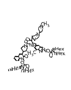 CCCCCCN(CCCCCC)C(=O)OCn1cc2cc(CC(NC(=O)N3CCC(c4cc5ccccc5n(COC(=O)N(CCCCCC)CCCCCC)c4=O)CC3)C(=O)N3CCN(C4CCN(C)CC4)CC3)cc(C)c2n1